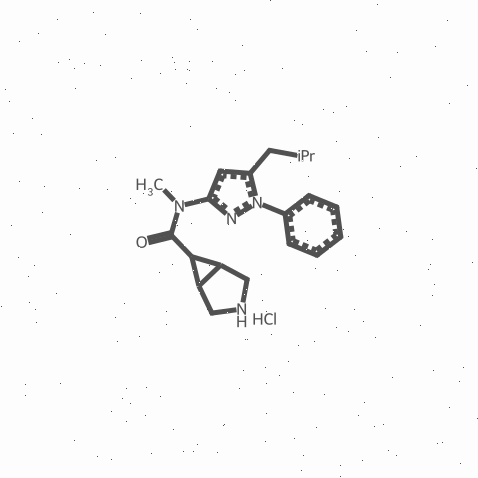 CC(C)Cc1cc(N(C)C(=O)C2C3CNCC32)nn1-c1ccccc1.Cl